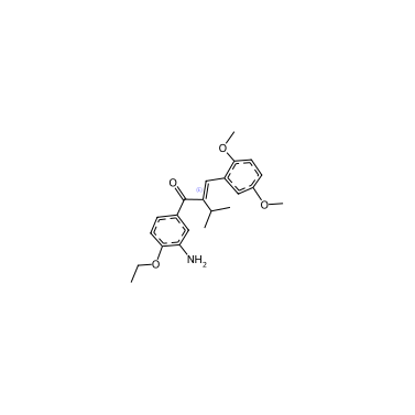 CCOc1ccc(C(=O)/C(=C/c2cc(OC)ccc2OC)C(C)C)cc1N